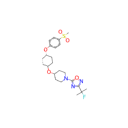 CC(C)(F)c1noc(N2CCC(OC3CCC(Oc4ccc(S(C)(=O)=O)cc4)CC3)CC2)n1